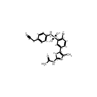 CC(=O)Nc1nc(C)c(-c2ccc(Br)c(S(=O)(=O)Nc3ccc(CC#N)cc3)c2)s1